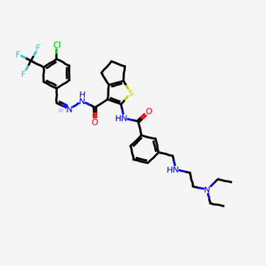 CCN(CC)CCNCc1cccc(C(=O)Nc2sc3c(c2C(=O)N/N=C\c2ccc(Cl)c(C(F)(F)F)c2)CCC3)c1